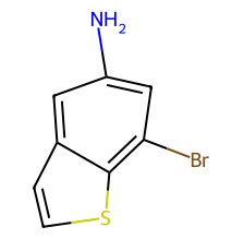 Nc1cc(Br)c2sccc2c1